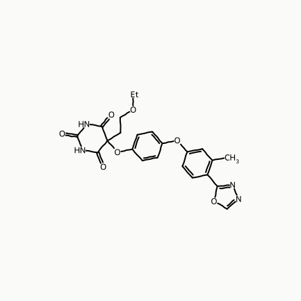 CCOCCC1(Oc2ccc(Oc3ccc(-c4nnco4)c(C)c3)cc2)C(=O)NC(=O)NC1=O